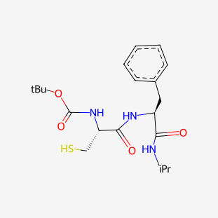 CC(C)NC(=O)[C@H](Cc1ccccc1)NC(=O)[C@H](CS)NC(=O)OC(C)(C)C